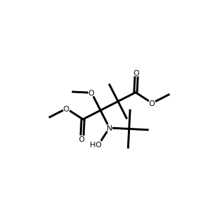 COC(=O)C(C)(C)C(OC)(C(=O)OC)N(O)C(C)(C)C